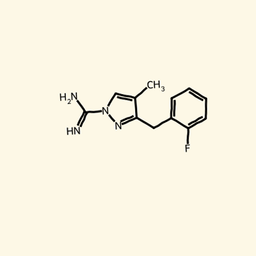 Cc1cn(C(=N)N)nc1Cc1ccccc1F